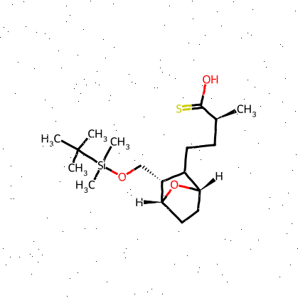 C[C@@H](CCC1[C@@H]2CC[C@@H](O2)[C@@H]1CO[Si](C)(C)C(C)(C)C)C(O)=S